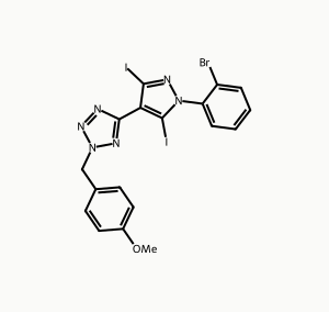 COc1ccc(Cn2nnc(-c3c(I)nn(-c4ccccc4Br)c3I)n2)cc1